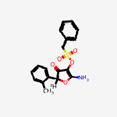 [2H]C1(c2ccccc2C)OC(N)=C(OS(=O)(=O)Cc2ccccc2)C1=O